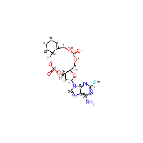 C[C@@]12COC(=O)OCC3CCCCC3COC(=O)O[C@H]1C[C@H](n1cnc3c(N)nc(F)nc31)O2